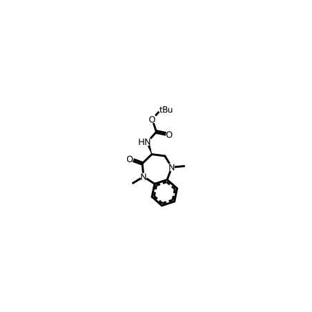 CN1C[C@H](NC(=O)OC(C)(C)C)C(=O)N(C)c2ccccc21